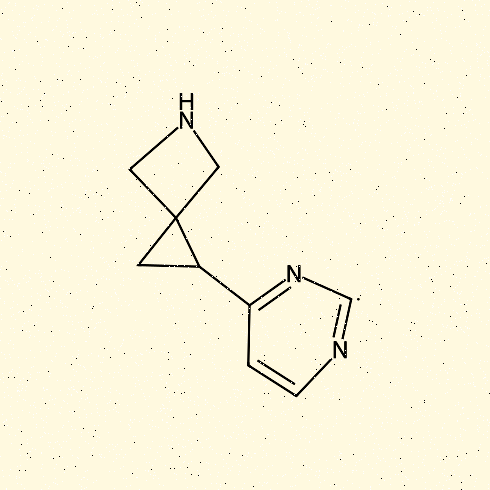 [c]1nccc(C2CC23CNC3)n1